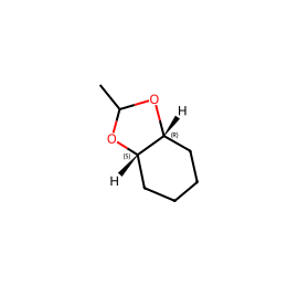 CC1O[C@H]2CCCC[C@H]2O1